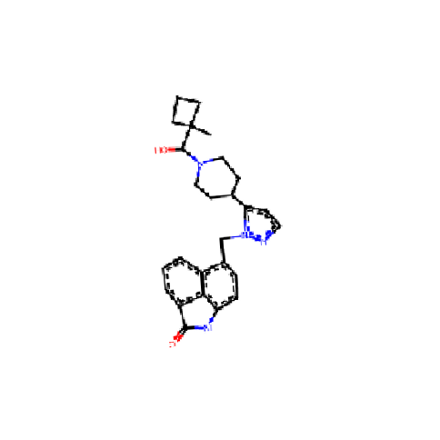 CC1(C(O)N2CCC(c3ccnn3Cc3ccc4c5c(cccc35)C(=O)N4)CC2)CCC1